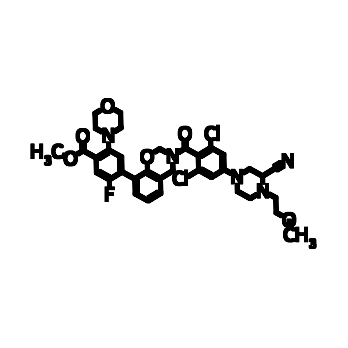 COCCN1CCN(c2cc(Cl)c(C(=O)N3COc4c(cccc4-c4cc(N5CCOCC5)c(C(=O)OC)cc4F)C3)c(Cl)c2)CC1C#N